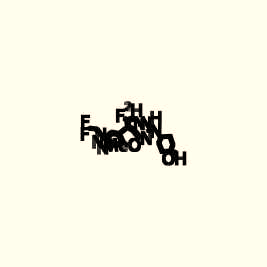 [2H]c1c(F)c(-c2ccc3nnn(CC(F)F)c3c2)c2c(OC)nc(NC3CCC(C)(O)CC3)nn12